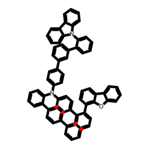 c1ccc(-c2ccc(-c3ccccc3N(c3ccc(-c4cccc(-c5ccccc5-n5c6ccccc6c6ccccc65)c4)cc3)c3ccc(-c4ccccc4-c4cccc5c4oc4ccccc45)cc3)cc2)cc1